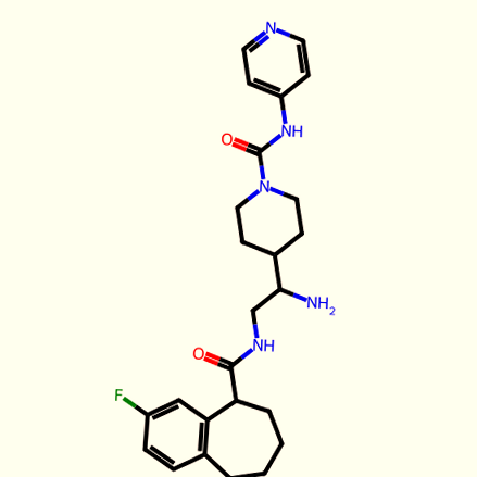 NC(CNC(=O)C1CCCCc2ccc(F)cc21)C1CCN(C(=O)Nc2ccncc2)CC1